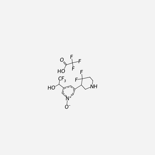 O=C(O)C(F)(F)F.[O-][n+]1cc(C(O)C(F)(F)F)cc(C2CNCCC2(F)F)c1